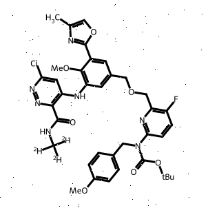 [2H]C([2H])([2H])NC(=O)c1nnc(Cl)cc1Nc1cc(COCc2nc(N(Cc3ccc(OC)cc3)C(=O)OC(C)(C)C)ccc2F)cc(-c2nc(C)co2)c1OC